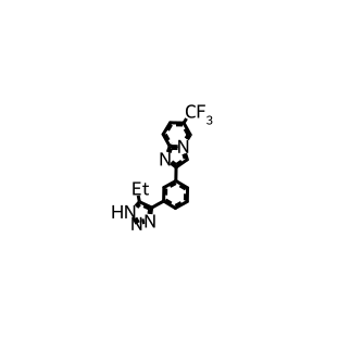 CCc1[nH]nnc1-c1cccc(-c2cn3cc(C(F)(F)F)ccc3n2)c1